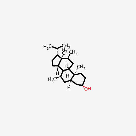 CC(C)[C@H]1CC[C@H]2[C@@H]3[C@H](C)C[C@@H]4C[C@H](O)CC[C@]4(C)[C@H]3C[C@H](C)[C@]12C